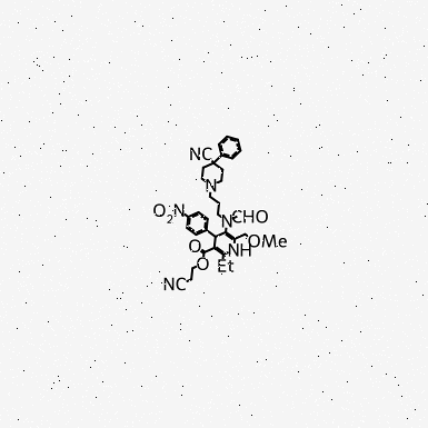 CCC1=C(C(=O)OCCC#N)C(c2ccc([N+](=O)[O-])cc2)C(N(C=O)CCCN2CCC(C#N)(c3ccccc3)CC2)=C(COC)N1